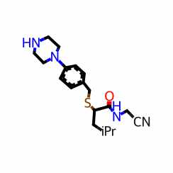 CC(C)CC(SCc1ccc(N2CCNCC2)cc1)C(=O)NCC#N